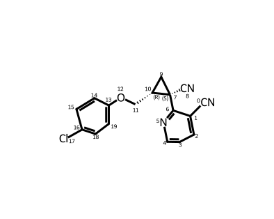 N#Cc1cccnc1[C@]1(C#N)C[C@H]1COc1ccc(Cl)cc1